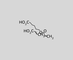 C=CC(=O)OCCCCCC(=O)O.CC=CC(=O)O